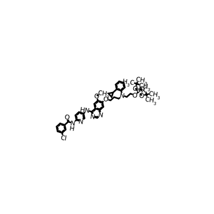 COc1cc2c(Nc3ccc(NC(=O)c4cccc(Cl)c4)nc3)ncnc2cc1OCCCN(CCOP(=O)(OC(C)(C)C)OC(C)(C)C)c1ccccc1C1CC1